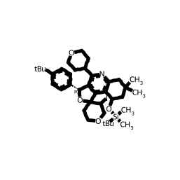 CC1(C)Cc2nc(C3CCOCC3)c3c(c2C(O[Si](C)(C)C(C)(C)C)C1)C1(CCOCC1I)O[C@@H]3c1ccc(C(C)(C)C)cc1